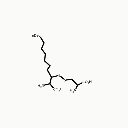 CCCCCCCCCCCCCCCCC(SSCC(N)C(=O)O)C(N)C(=O)O